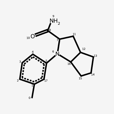 Cc1cccc(N2C(C(N)=O)CC3CCCC32)c1